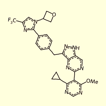 COc1ncnc(C2CC2)c1-c1ncc2[nH]nc(Cc3ccc(-c4nc(C(F)(F)F)cn4C4COC4)cc3)c2n1